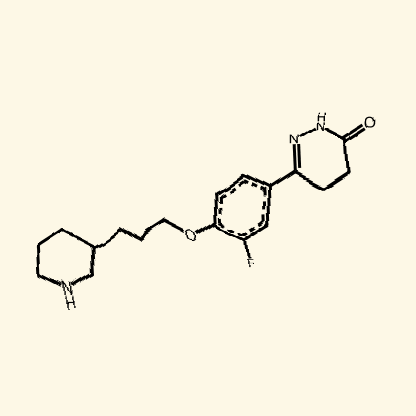 O=C1CCC(c2ccc(OCCCC3CCCNC3)c(F)c2)=NN1